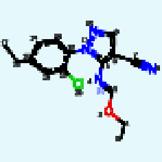 CCO/C=N/c1c(C#N)cnn1-c1ccc(CC)cc1Cl